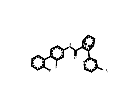 Cc1ccnc(-c2c(C(=O)Nc3ccc(-c4ccccc4F)c(F)c3)c3ccc2o3)c1